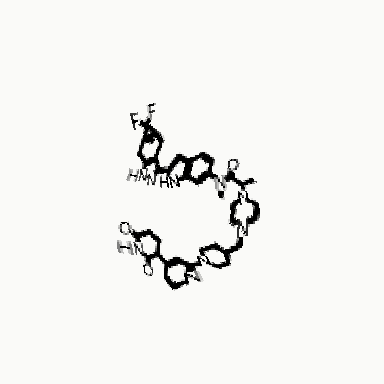 CC(C(=O)N(C)c1ccc2cc(-c3n[nH]c4c3CC3C(F)(F)C3(C)C4)[nH]c2c1)N1CCN(CC2CCN(c3cc(C4CCC(=O)NC4=O)ccn3)CC2)CC1